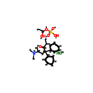 CC(O)OS(=O)(=O)O.CCC(=O)C(CC(C)N(C)C)(c1ccccc1)c1ccccc1.Cl